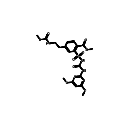 COC(=O)NCCc1ccc(C(=O)OC)c(S(=O)(=O)NC(=O)Nc2nc(OC)cc(OC)n2)c1